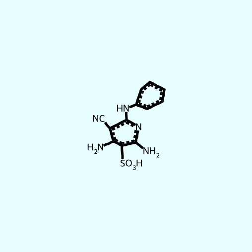 N#Cc1c(Nc2ccccc2)nc(N)c(S(=O)(=O)O)c1N